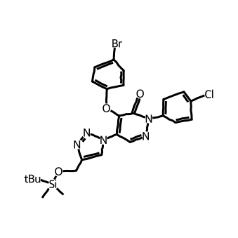 CC(C)(C)[Si](C)(C)OCc1cn(-c2cnn(-c3ccc(Cl)cc3)c(=O)c2Oc2ccc(Br)cc2)nn1